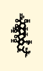 CNc1cc(CN(C)C(C)CC(F)(F)F)c(O)c2c1C[C@H]1C[C@H]3CC(O)=C(C(N)=O)C(=O)[C@@]3(O)C(O)=C1C2=O